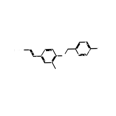 Cc1cc(/C=C/C(=O)O)ccc1OCc1ccc(F)cc1